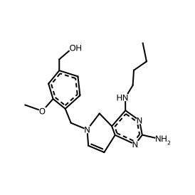 CCCCNc1nc(N)nc2c1CN(Cc1ccc(CO)cc1OC)C=C2